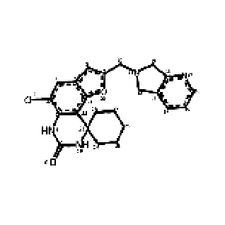 O=C1Nc2c(Cl)cc3cc(CN4Cc5cccnc5C4)oc3c2C2(CCCCC2)N1